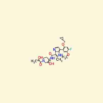 COc1cc(-c2ccnc3c(C(=O)N[C@@H]4CCN(C(=O)[C@H](C)O)C[C@@H]4O)c(C)[nH]c23)c(OCC2CC2)cc1F